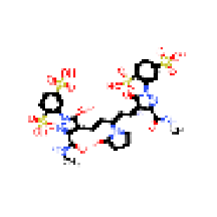 CNC(=O)C1=NN(c2cc(S(=O)(=O)O)ccc2S(=O)(=O)O)C(=O)/C1=C\C=C(C=Cc1c(C(=O)NC)nn(-c2cc(S(=O)(=O)O)ccc2S(=O)(=O)O)c1O)N1CCCC1=O